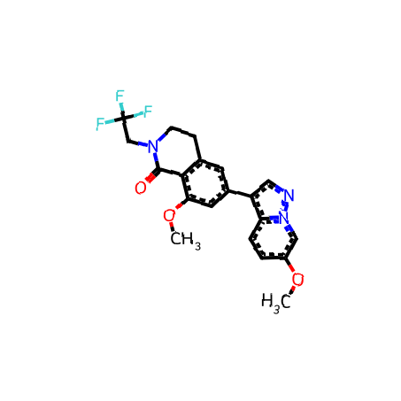 COc1ccc2c(-c3cc4c(c(OC)c3)C(=O)N(CC(F)(F)F)CC4)cnn2c1